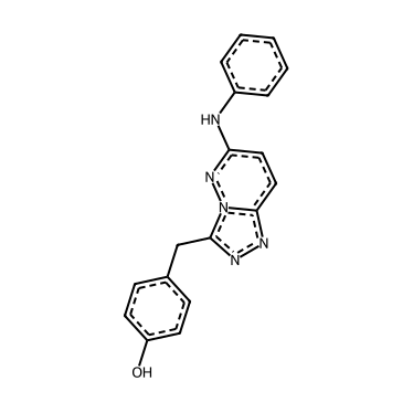 Oc1ccc(Cc2nnc3ccc(Nc4ccccc4)nn23)cc1